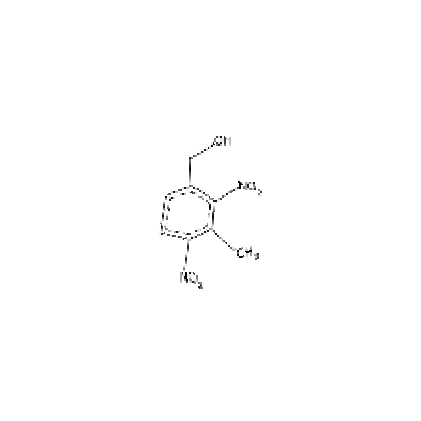 Cc1c([N+](=O)[O-])ccc(CO)c1[N+](=O)[O-]